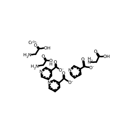 NCC(=O)O.NCC(=O)O.NCC(=O)O.O=C([O-])c1cccnc1.O=C([O-])c1cccnc1.O=C([O-])c1cccnc1.[Cr+3]